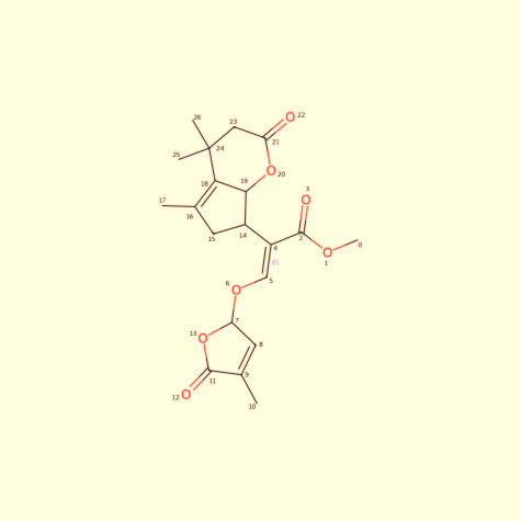 COC(=O)/C(=C/OC1C=C(C)C(=O)O1)C1CC(C)=C2C1OC(=O)CC2(C)C